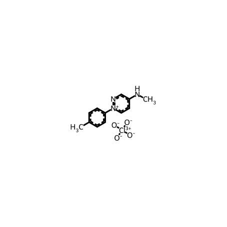 CNc1cc[n+](-c2ccc(C)cc2)nc1.[O-][Cl+3]([O-])([O-])[O-]